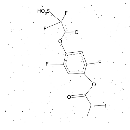 CC(I)C(=O)Oc1cc(F)c(OC(=O)C(F)(F)S(=O)(=O)O)cc1F